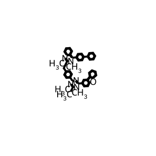 CC(C)(C)c1nc(-c2ccc(CC(C)(C)c3nc(-c4ccc(-c5ccccc5)cc4)c4ccccc4n3)cc2)nc(-c2ccc3oc4ccccc4c3c2)n1